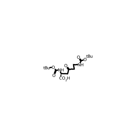 CC(C)(C)OC(=O)NCCC(=O)C[C@H](NC(=O)OC(C)(C)C)C(=O)O